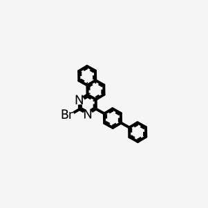 Brc1nc(-c2ccc(-c3ccccc3)cc2)c2ccc3ccccc3c2n1